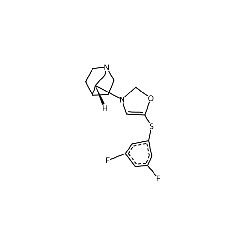 Fc1cc(F)cc(SC2=CN([C@H]3CN4CCC3CC4)CO2)c1